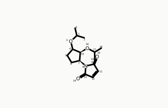 CC(C)OC1CC[C@H](N2C(=O)C=CC2=O)[C@@H]1OC(C)C